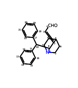 O=C/C=C1\C2CCN(CC2)C1C(c1ccccc1)c1ccccc1